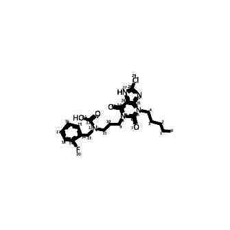 CCCCCn1c(=O)n(CCCN(Cc2ccccc2F)C(=O)O)c(=O)c2[nH]c(Cl)nc21